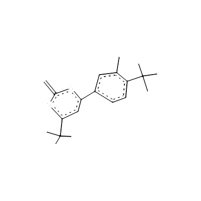 O=c1nc(-c2ccc(C(F)(F)F)c(F)c2)cc(C(F)(F)F)[nH]1